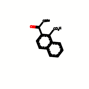 COC(=O)c1ccc2ccccc2c1C(=O)O